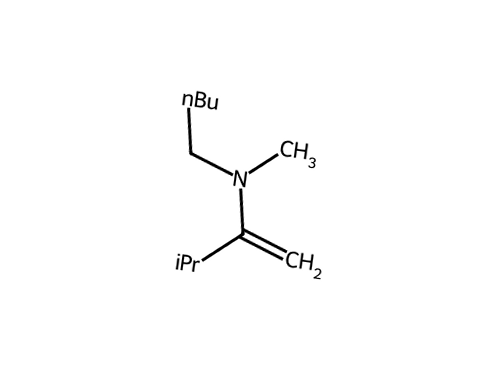 C=C(C(C)C)N(C)CCCCC